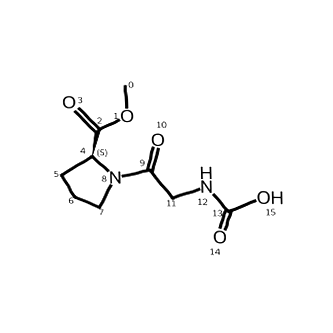 COC(=O)[C@@H]1CCCN1C(=O)CNC(=O)O